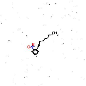 CCCCCCCC#Cc1ccccc1[N+](=O)[O-]